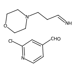 N=CCCN1CCOCC1.O=Cc1ccnc(Cl)c1